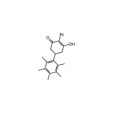 CC(=O)C1=C(O)CC(c2c(C)c(C)c(C)c(C)c2C)CC1=O